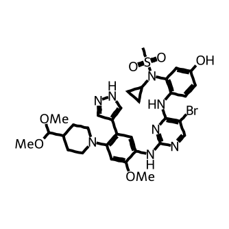 COc1cc(N2CCC(C(OC)OC)CC2)c(-c2cn[nH]c2)cc1Nc1ncc(Br)c(Nc2ccc(O)cc2N(C2CC2)S(C)(=O)=O)n1